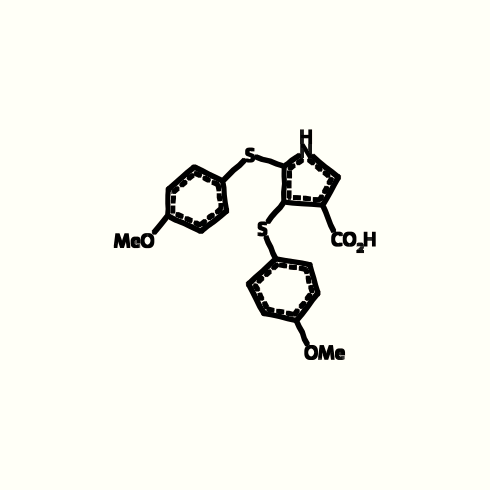 COc1ccc(Sc2[nH]cc(C(=O)O)c2Sc2ccc(OC)cc2)cc1